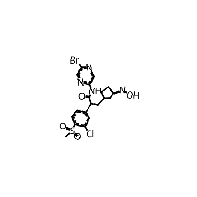 CS(=O)(=O)c1ccc(C(CC2CCC(=NO)C2)C(=O)Nc2cnc(Br)cn2)cc1Cl